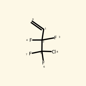 C=CC(F)(F)C(F)(F)Cl